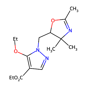 CCOC(=O)c1cnn(CC2OC(C)=NC2(C)C)c1OCC